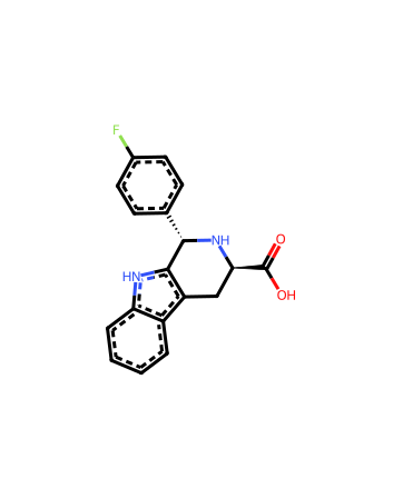 O=C(O)[C@H]1Cc2c([nH]c3ccccc23)[C@H](c2ccc(F)cc2)N1